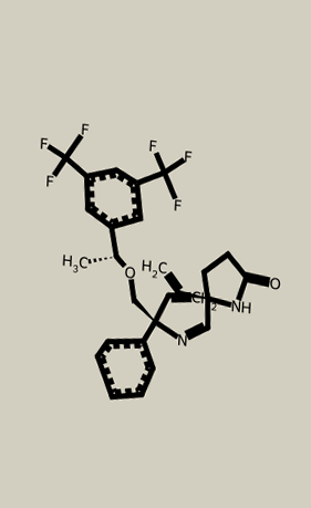 C=C[C@](CO[C@H](C)c1cc(C(F)(F)F)cc(C(F)(F)F)c1)(/N=C\[C@]1(C=C)CCC(=O)N1)c1ccccc1